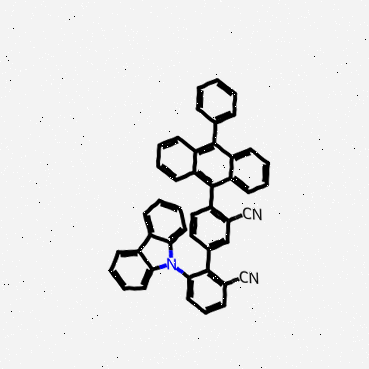 N#Cc1cc(-c2c(C#N)cccc2-n2c3ccccc3c3ccccc32)ccc1-c1c2ccccc2c(-c2ccccc2)c2ccccc12